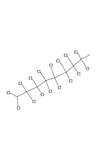 CC(Cl)(Cl)C(Cl)(Cl)C(Cl)(Cl)C(Cl)(Cl)C(Cl)(Cl)C(Cl)(Cl)C(Cl)(Cl)[C](Cl)Cl